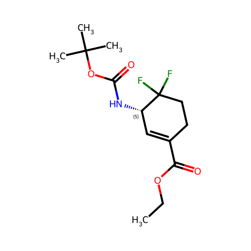 CCOC(=O)C1=C[C@H](NC(=O)OC(C)(C)C)C(F)(F)CC1